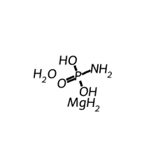 NP(=O)(O)O.O.[MgH2]